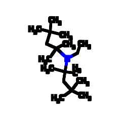 CCN(C(C)(C)CC(C)(C)C)C(C)(C)CC(C)(C)C